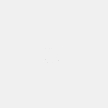 COC1=NCC2CCC1C2